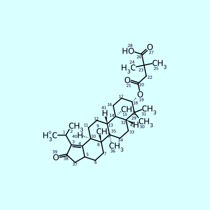 CC(C)C1=C2C(CC[C@]3(C)[C@@H]2CC[C@@H]2[C@@]4(C)CC[C@H](OC(=O)CC(C)(C)C(=O)O)C(C)(C)[C@@H]4CC[C@]23C)CC1=O